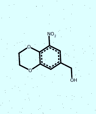 O=[N+]([O-])c1cc(CO)cc2c1OCCO2